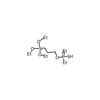 CCO[Si](CCCO[PH](S)(CC)CC)(OCC)OCC